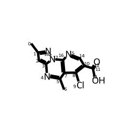 Cc1cc2nc(C)c3c(Cl)c(C(=O)O)cnc3n2n1